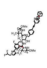 COC(=O)N[C@H](C(=O)N[C@@H](Cc1ccc(C#Cc2ccc(N3CC4CC(C3)N4C3COC3)nc2)cc1)[C@@H](O)CN(Cc1c(F)cc(-c2ccn(CC(F)F)n2)cc1F)NC(=O)[C@@H](NC(=O)OC)C(C)(C)C(F)(F)F)C(C)(C)C(F)(F)F